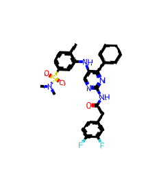 Cc1ccc(S(=O)(=O)N(C)C)cc1Nc1cnc(NC(=O)Cc2ccc(F)c(F)c2)nc1C1CCCCC1